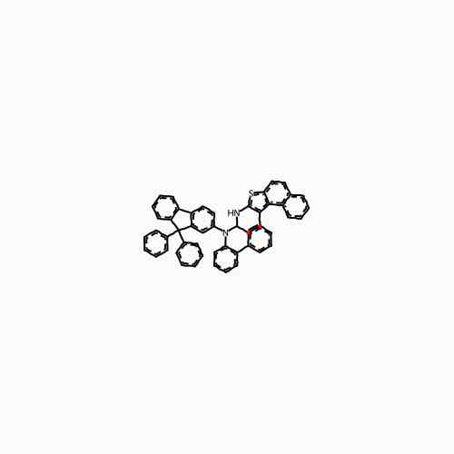 C1=CC(N(c2ccc3c(c2)C(c2ccccc2)(c2ccccc2)c2ccccc2-3)c2ccccc2-c2ccccc2)Nc2sc3ccc4ccccc4c3c21